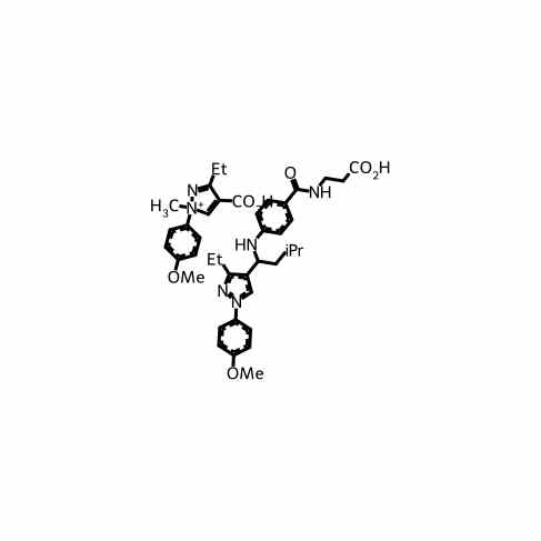 CCC1=N[N+](C)(c2ccc(OC)cc2)C=C1C(=O)O.CCc1nn(-c2ccc(OC)cc2)cc1C(CC(C)C)Nc1ccc(C(=O)NCCC(=O)O)cc1